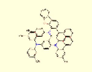 CC(C)(C)c1ccc(N2B3c4cc(N(c5cccc(C(C)(C)C)c5)c5cccc(C(C)(C)C)c5)ccc4N(c4ccc(C(C)(C)C)cc4-c4ccccc4)c4cc5ccccc5c(c43)-c3ccc4c(oc5ccccc54)c32)cc1